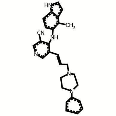 Cc1c(Nc2c(C#N)cncc2C=CCN2CCN(c3ccccc3)CC2)ccc2[nH]ccc12